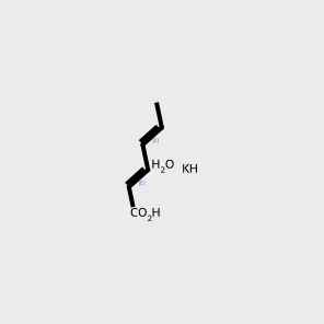 C/C=C/C=C/C(=O)O.O.[KH]